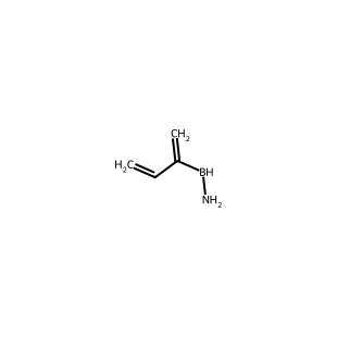 C=CC(=C)BN